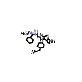 N#CCC1CCC(n2c(CN/C(=N/O)C3CCCCC3)nc3cnc4[nH]ccc4c32)CC1